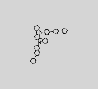 c1ccc(-c2ccc(-c3ccc(-n4c5ccccc5c5ccc6c(c7ccccc7n6-c6ccc7cc(-c8ccccc8)ccc7c6)c54)cc3)cc2)cc1